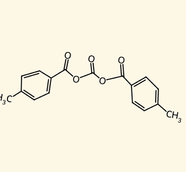 Cc1ccc(C(=O)OC(=O)OC(=O)c2ccc(C)cc2)cc1